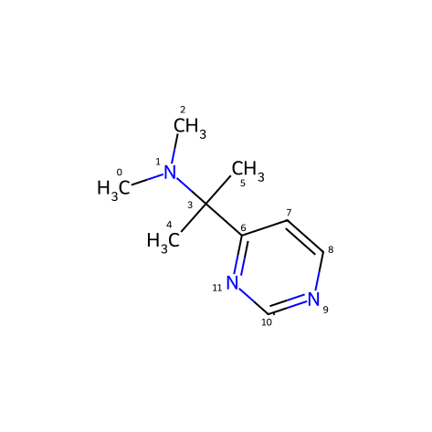 CN(C)C(C)(C)c1ccn[c]n1